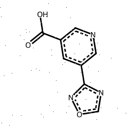 O=C(O)c1cncc(-c2ncon2)c1